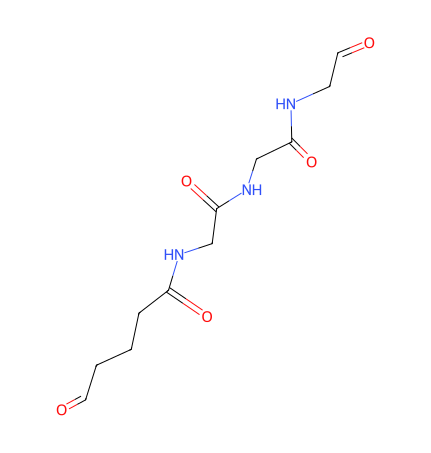 O=CCCCC(=O)NCC(=O)NCC(=O)NCC=O